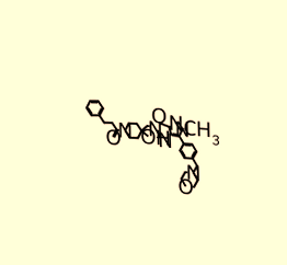 Cn1nc2c(=O)n(CC3(O)CCN(C(=O)CCc4ccccc4)CC3)cnc2c1-c1ccc(CN2CCOCC2)cc1